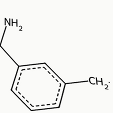 [CH2]c1cccc(CN)c1